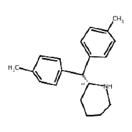 Cc1ccc(C(c2ccc(C)cc2)[C@H]2CCCCN2)cc1